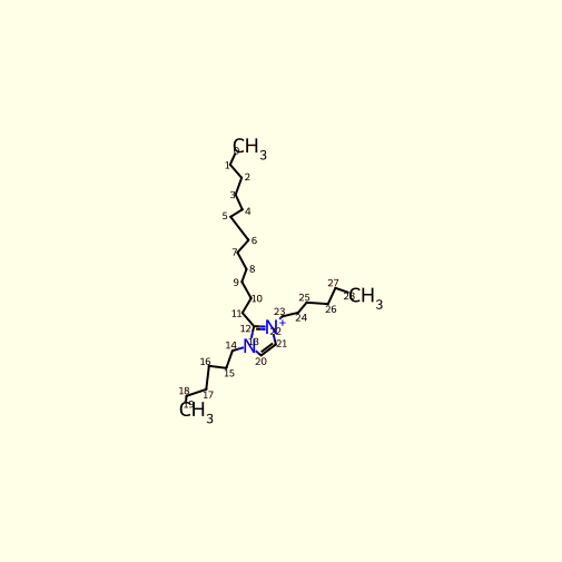 CCCCCCCCCCCCc1n(CCCCCC)cc[n+]1CCCCCC